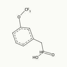 O=[PH](O)Cc1cccc(OC(F)(F)F)c1